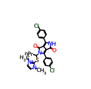 CCCC(Sc1n(C)cc[n+]1C)N1C(=O)C2=C(c3ccc(Cl)cc3)NC(=O)C2=C1c1ccc(Cl)cc1